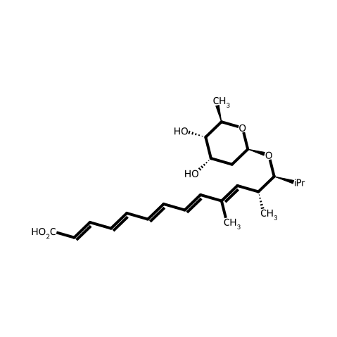 CC(/C=C/C=C/C=C/C=C/C(=O)O)=C\[C@@H](C)[C@@H](O[C@H]1C[C@H](O)[C@H](O)[C@@H](C)O1)C(C)C